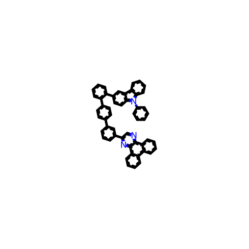 c1ccc(-n2c3ccccc3c3cc(-c4ccccc4-c4ccc(-c5cccc(-c6cnc7c8ccccc8c8ccccc8c7n6)c5)cc4)ccc32)cc1